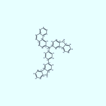 c1ccc2c(c1)ccc1ccc(N(c3ccc(-c4ccc5oc6ccccc6c5c4)cc3)c3ccc4oc5ccccc5c4c3)cc12